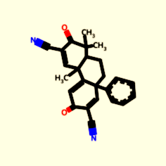 CC1(C)C(=O)C(C#N)=CC2(C)C3=CC(=O)C(C#N)=CC3(c3ccccc3)CCC12